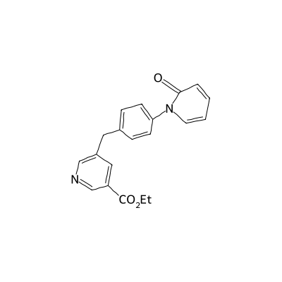 CCOC(=O)c1cncc(Cc2ccc(-n3ccccc3=O)cc2)c1